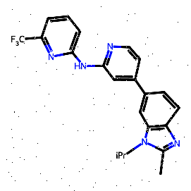 Cc1nc2ccc(-c3ccnc(Nc4cccc(C(F)(F)F)n4)c3)cc2n1C(C)C